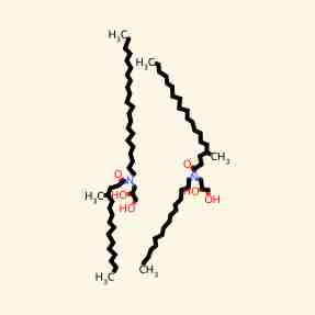 CCCCCCCCCCCCCCCCC(C)CCC(=O)N(CCCCCCCCCCCCCCCC)CC(O)CO.CCCCCCCCCCCCCCCCCCCCCCN(CC(O)CO)C(=O)CCC(C)CCCCCCCCCCCC